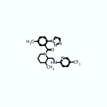 Cc1ccc(-n2ccnn2)c(C(=O)N2CCCC(C)C2CNc2ccc(C(F)(F)F)cn2)c1